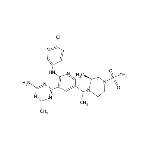 Cc1nc(N)nc(-c2cc([C@@H](C)N3CCN(S(C)(=O)=O)C[C@@H]3C)cnc2Nc2ccc(Cl)nc2)n1